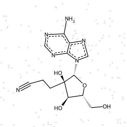 N#CCC[C@@]1(O)[C@H](O)[C@@H](CO)O[C@H]1n1cnc2c(N)ncnc21